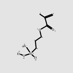 C=C(C)C(=O)OCCC[Si](CC)(CCC)OCC